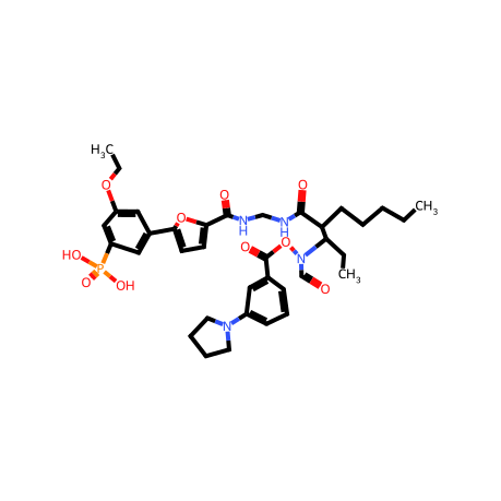 CCCCCC(C(=O)NCNC(=O)c1ccc(-c2cc(OCC)cc(P(=O)(O)O)c2)o1)C(CC)N(C=O)OC(=O)c1cccc(N2CCCC2)c1